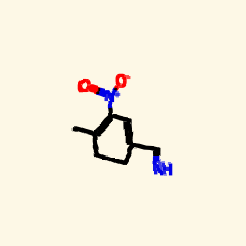 CC1=C([N+](=O)[O-])C=C(C=N)CC1